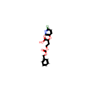 O=C(OCCC(Oc1ccc(Cl)nc1)C(=O)O)OCc1ccccc1